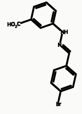 O=C(O)c1cccc(N/N=C/c2ccc(Br)cc2)c1